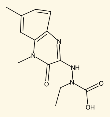 CCN(Nc1nc2ccc(C)cc2n(C)c1=O)C(=O)O